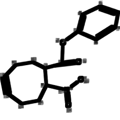 O=C(Oc1ccccc1)C1CCC#CCCC1[N+](=O)[O-]